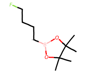 CC1(C)OB([CH]CCCF)OC1(C)C